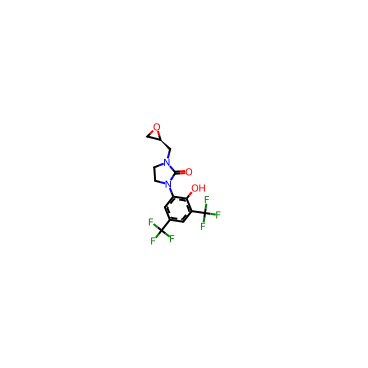 O=C1N(C[C@H]2CO2)CCN1c1cc(C(F)(F)F)cc(C(F)(F)F)c1O